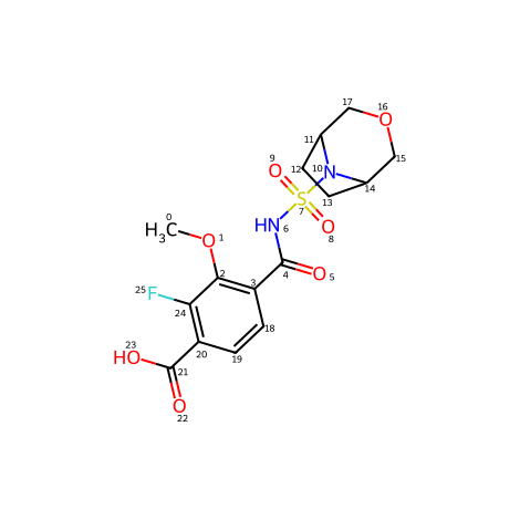 COc1c(C(=O)NS(=O)(=O)N2C3CCC2COC3)ccc(C(=O)O)c1F